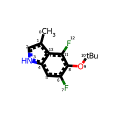 Cc1c[nH]c2cc(F)c(OC(C)(C)C)c(F)c12